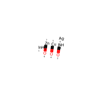 [Ag].[InH3].[O]=[BiH].[O]=[Cu].[O]=[Zn]